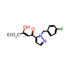 CCOC(=O)/C(O)=C/C(=O)c1ccnn1Cc1ccc(F)cc1